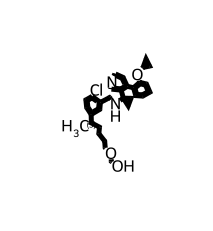 C[C@@H](CCCCOCO)c1ccc(Cl)c(CNC2(c3cnccc3-c3ccccc3OC3CC3)CC2)c1